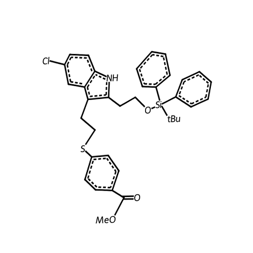 COC(=O)c1ccc(SCCc2c(CCO[Si](c3ccccc3)(c3ccccc3)C(C)(C)C)[nH]c3ccc(Cl)cc23)cc1